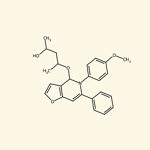 COc1ccc(N2C(c3ccccc3)=Cc3occc3C2OC(C)CC(C)O)cc1